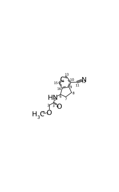 COCC(=O)NC1CCc2c(C#N)cccc21